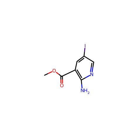 COC(=O)c1cc(I)cnc1N